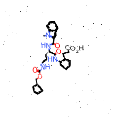 Cn1c(C(=O)N[C@@H](CCCNC(=O)OCc2ccccc2)C(=O)Nc2ccccc2CCC(=O)O)cc2ccccc21